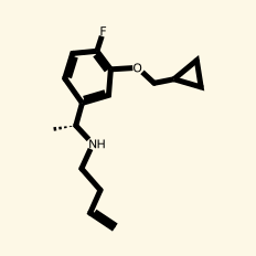 C=CCCN[C@H](C)c1ccc(F)c(OCC2CC2)c1